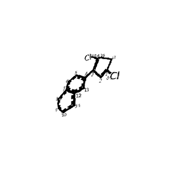 ClC1=CC(c2ccc3ccccc3c2)=C(Cl)[CH]C1